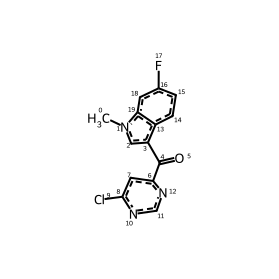 Cn1cc(C(=O)c2cc(Cl)ncn2)c2ccc(F)cc21